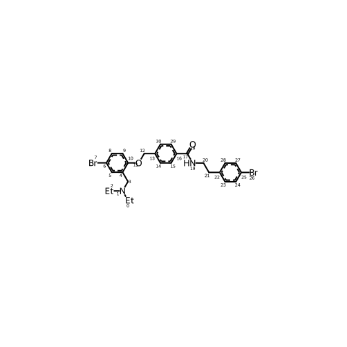 CCN(CC)Cc1cc(Br)ccc1OCc1ccc(C(=O)NCCc2ccc(Br)cc2)cc1